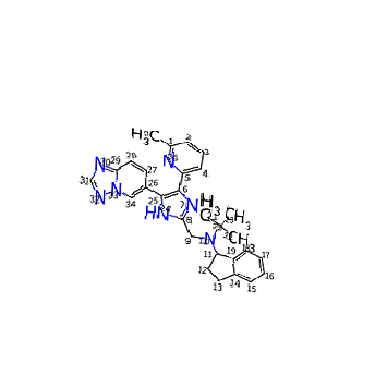 Cc1cccc(-c2nc(CN(C3CCc4ccccc43)C(C)(C)C)[nH]c2-c2ccc3ncnn3c2)n1